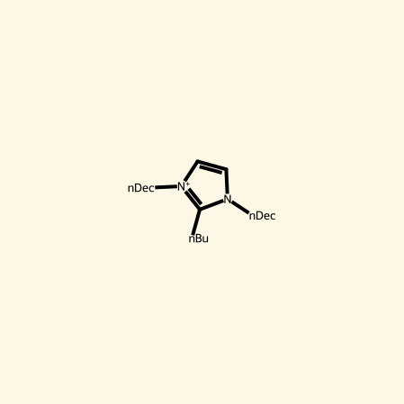 CCCCCCCCCCn1cc[n+](CCCCCCCCCC)c1CCCC